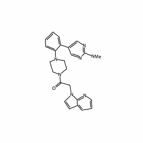 CNc1ncc(-c2ccccc2N2CCN(C(=O)Cn3ccc4cccnc43)CC2)cn1